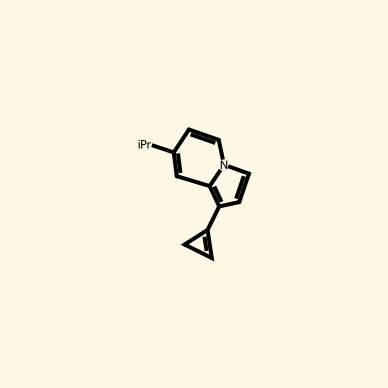 CC(C)c1ccn2ccc(C3=CC3)c2c1